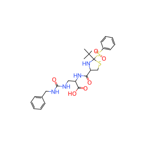 CC(C)(C)C1(S(=O)(=O)c2ccccc2)NC(C(=O)NC(CNC(=O)NCc2ccccc2)C(=O)O)CS1